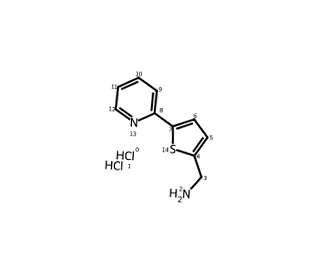 Cl.Cl.NCc1ccc(-c2ccccn2)s1